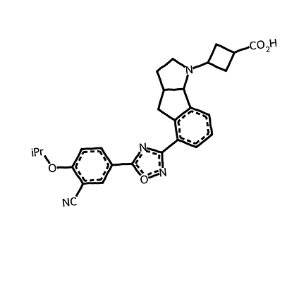 CC(C)Oc1ccc(-c2nc(-c3cccc4c3CC3CCN(C5CC(C(=O)O)C5)C43)no2)cc1C#N